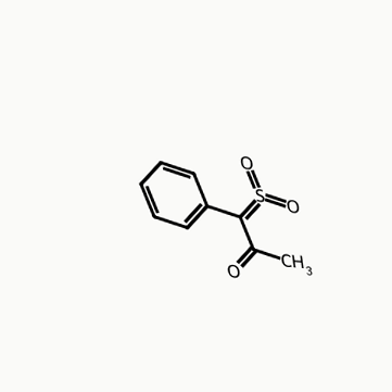 CC(=O)C(c1ccccc1)=S(=O)=O